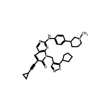 CN1CCCC(c2ccc(Nc3ncc4cc(C#CC5CC5)c(=O)n(Cc5cnsc5C5CCCC5)c4n3)cc2)C1